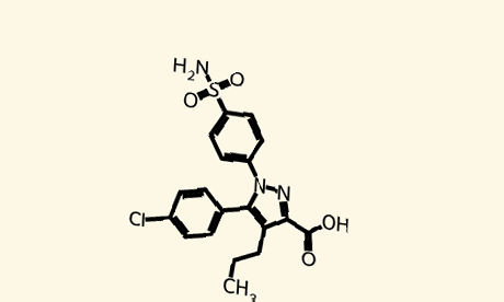 CCCc1c(C(=O)O)nn(-c2ccc(S(N)(=O)=O)cc2)c1-c1ccc(Cl)cc1